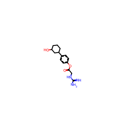 N=C(N)NCC(=O)Oc1ccc(C2CCCC(O)C2)cc1